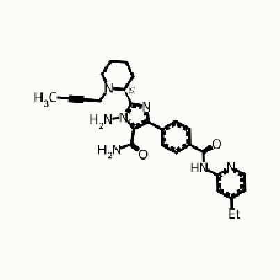 CC#CCN1CCCC[C@H]1c1nc(-c2ccc(C(=O)Nc3cc(CC)ccn3)cc2)c(C(N)=O)n1N